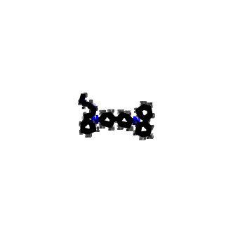 C/C=C\C=C/c1cc2ccccc2n1-c1ccc(-c2ccc(-n3c4ccccc4c4ccccc43)cc2)cc1